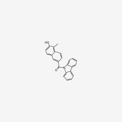 Cc1c(O)ccc2cc(C(=O)n3c4ccccc4c4ccccc43)ccc12